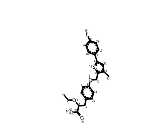 CCOC(Cc1ccc(OCc2sc(-c3ccc(F)cc3)cc2C)cc1)C(=O)O